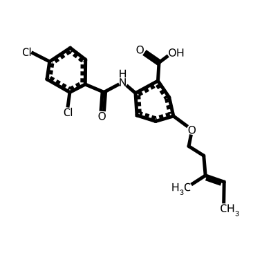 C/C=C(\C)CCOc1ccc(NC(=O)c2ccc(Cl)cc2Cl)c(C(=O)O)c1